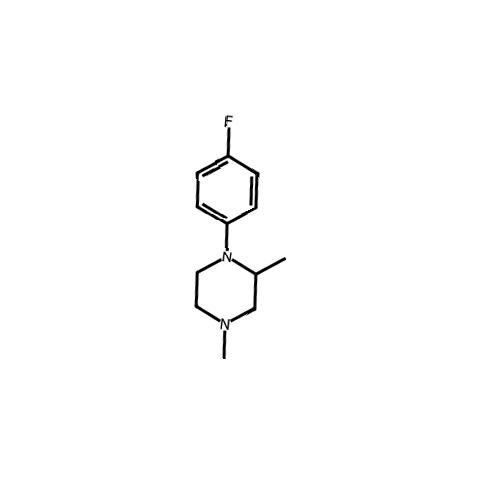 CC1CN(C)CCN1c1ccc(F)cc1